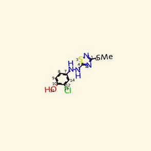 CSc1nsc(NNc2ccc(O)c(Cl)c2)n1